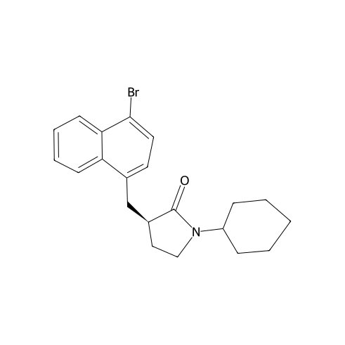 O=C1[C@H](Cc2ccc(Br)c3ccccc23)CCN1C1CCCCC1